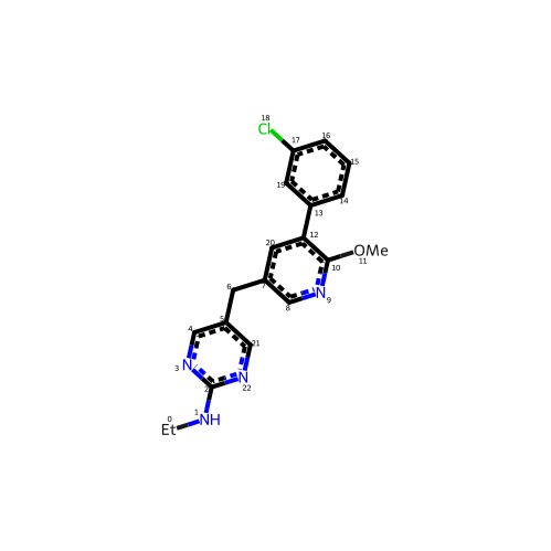 CCNc1ncc(Cc2cnc(OC)c(-c3cccc(Cl)c3)c2)cn1